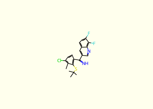 Cc1c(Cl)ccc(C(=N)c2cnc3c(F)c(F)ccc3c2)c1SC(C)(C)C